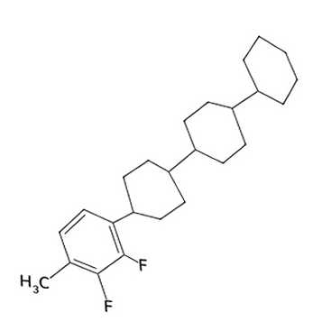 Cc1ccc(C2CCC(C3CCC(C4CCCCC4)CC3)CC2)c(F)c1F